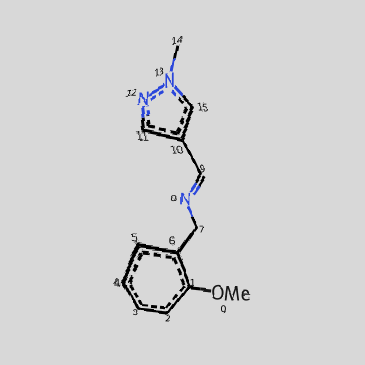 COc1ccccc1CN=Cc1cnn(C)c1